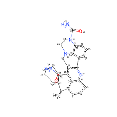 C[C@H](c1cccc2nc(-c3ccccc3)c(CN3CCN(C(N)=O)CC3)c(C(N)=O)c12)C1CCCCC1